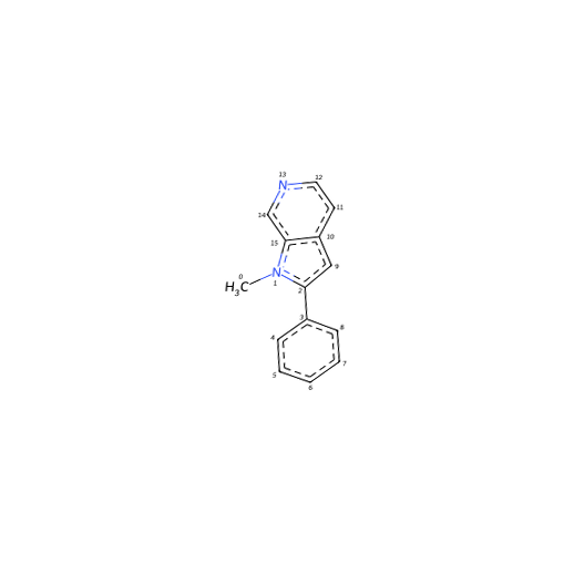 Cn1c(-c2ccccc2)cc2ccncc21